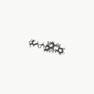 C[Si](C)(C)CCOCn1ccc2c(NC3CCCC3)c(Br)cnc21